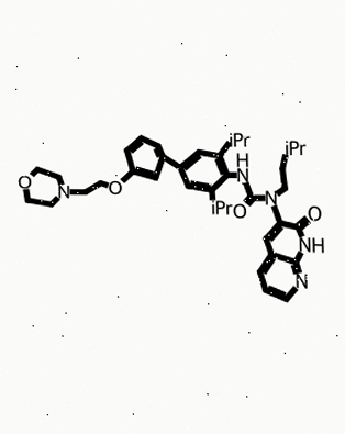 CC(C)CCN(C(=O)Nc1c(C(C)C)cc(-c2cccc(OCCN3CCOCC3)c2)cc1C(C)C)c1cc2cccnc2[nH]c1=O